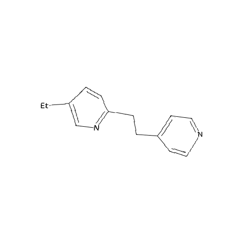 CCc1ccc(CCc2ccncc2)nc1